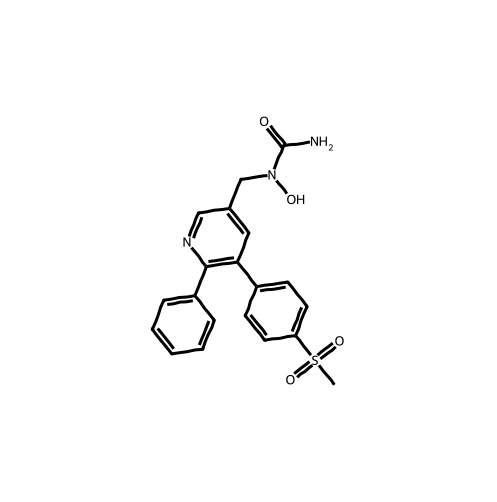 CS(=O)(=O)c1ccc(-c2cc(CN(O)C(N)=O)cnc2-c2ccccc2)cc1